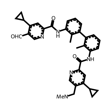 CNCc1cnc(C(=O)Nc2cccc(-c3cccc(NC(=O)c4cc(C5CC5)c(C=O)cn4)c3C)c2C)cc1C1CC1